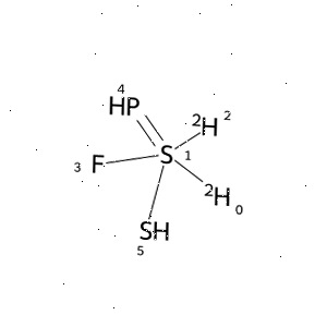 [2H]S([2H])(F)(=P)S